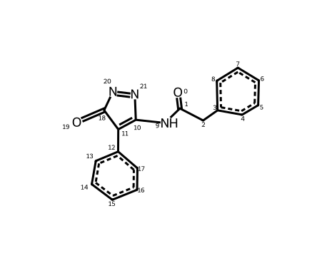 O=C(Cc1ccccc1)NC1=C(c2ccccc2)C(=O)N=N1